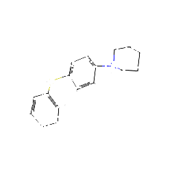 C1=CC(Sc2ccc(N3CCCCC3)cc2)=CCC1